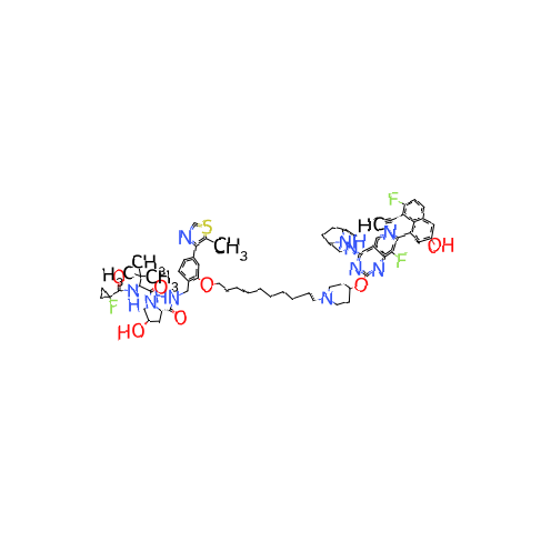 C#Cc1c(F)ccc2cc(O)cc(-c3ncc4c(N5CC6CCC(C5)N6)nc(OC5CCN(CCCCCCCCCCOc6cc(-c7ncsc7C)ccc6CNC(=O)[C@@H]6C[C@@H](O)CN6C(=O)C(NC(=O)C6(F)CC6)C(C)(C)C)CC5)nc4c3F)c12